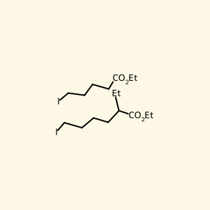 CCOC(=O)C(CC)CCCCI.CCOC(=O)CCCCI